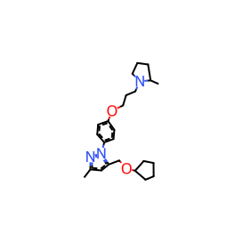 Cc1cc(COC2CCCC2)n(-c2ccc(OCCCN3CCCC3C)cc2)n1